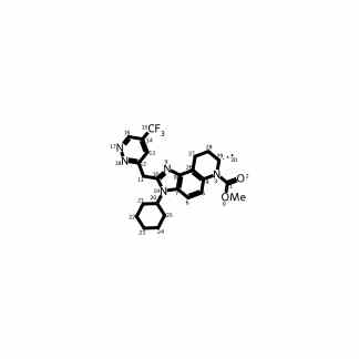 COC(=O)N1c2ccc3c(nc(Cc4cc(C(F)(F)F)cnn4)n3C3CCCCC3)c2CC[C@@H]1C